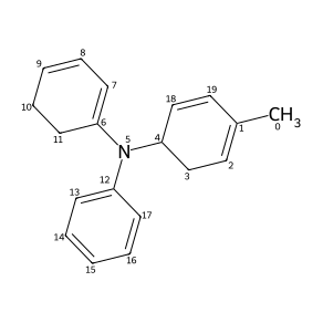 CC1=CCC(N(C2=CC=CCC2)c2ccccc2)C=C1